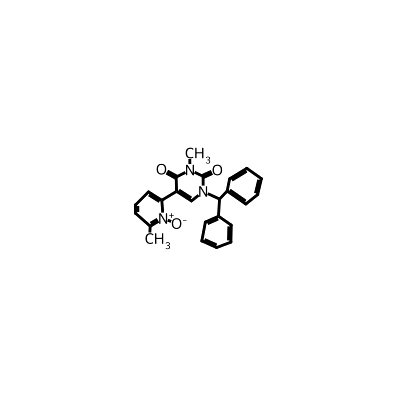 Cc1cccc(-c2cn(C(c3ccccc3)c3ccccc3)c(=O)n(C)c2=O)[n+]1[O-]